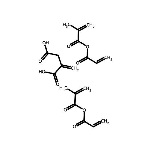 C=C(CC(=O)O)C(=O)O.C=CC(=O)OC(=O)C(=C)C.C=CC(=O)OC(=O)C(=C)C